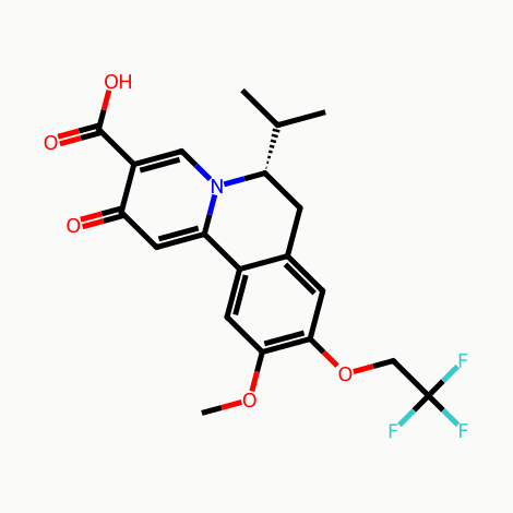 COc1cc2c(cc1OCC(F)(F)F)C[C@@H](C(C)C)n1cc(C(=O)O)c(=O)cc1-2